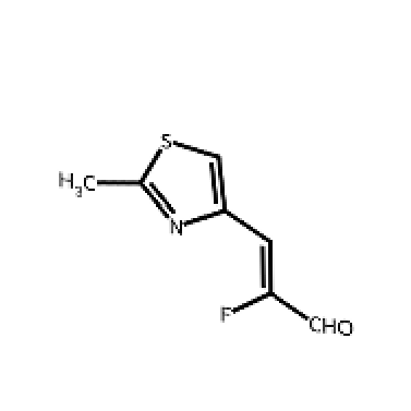 Cc1nc(/C=C(\F)C=O)cs1